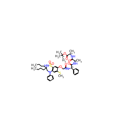 CCCCC1(CCCC)CN(c2ccccc2)c2cc(SC)c(OCC(=O)N[C@@H](C(=O)N[C@@H](C)C(=O)N[C@@H](C)C(=O)OC(C)(C)C)c3ccccc3)cc2S(=O)(=O)N1